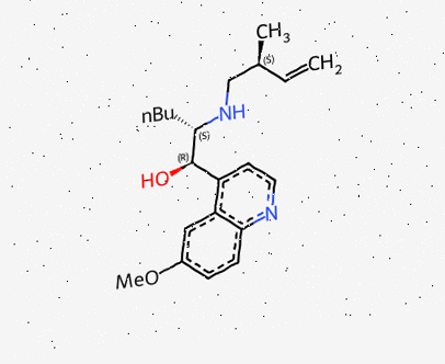 C=C[C@H](C)CN[C@@H](CCCC)[C@H](O)c1ccnc2ccc(OC)cc12